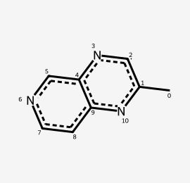 Cc1[c]nc2cnccc2n1